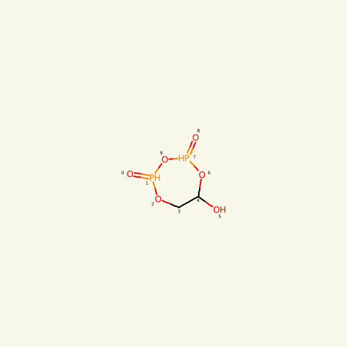 O=[PH]1OCC(O)O[PH](=O)O1